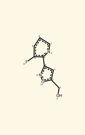 OCc1cc(-c2ncccc2F)no1